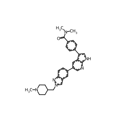 CN1CCC(Cn2cc3cc(-c4cnc5[nH]cc(-c6ccc(C(=O)N(C)C)cc6)c5c4)ccc3n2)CC1